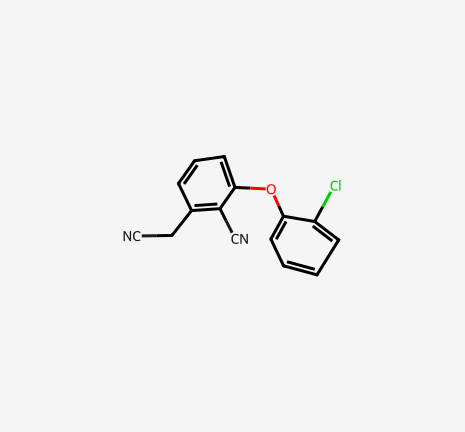 N#CCc1cccc(Oc2ccccc2Cl)c1C#N